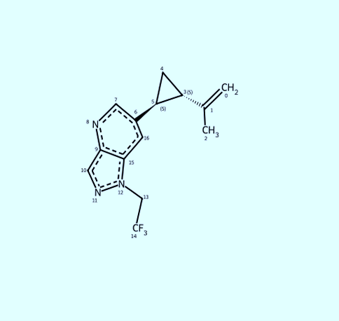 C=C(C)[C@H]1C[C@@H]1c1cnc2cnn(CC(F)(F)F)c2c1